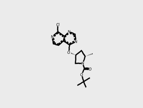 C[C@H]1C[C@@H](Oc2ncnc3c(Cl)nccc23)CN1C(=O)OC(C)(C)C